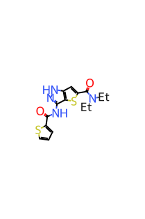 CCN(CC)C(=O)c1cc2[nH]nc(NC(=O)c3cccs3)c2s1